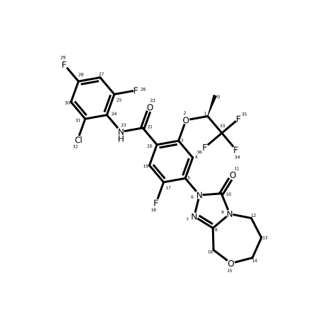 C[C@H](Oc1cc(-n2nc3n(c2=O)CCCOC3)c(F)cc1C(=O)Nc1c(F)cc(F)cc1Cl)C(F)(F)F